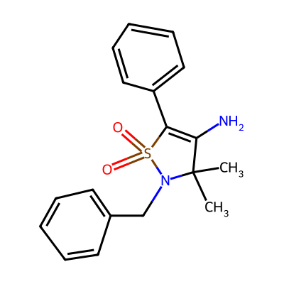 CC1(C)C(N)=C(c2ccccc2)S(=O)(=O)N1Cc1ccccc1